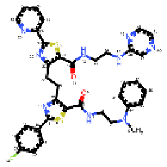 CN(CCNC(=O)c1sc(-c2ccc(F)cc2)nc1CCc1nc(-c2ccccn2)sc1C(=O)NCCNc1cnccn1)c1ccccc1